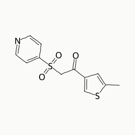 Cc1cc(C(=O)CS(=O)(=O)c2ccncc2)cs1